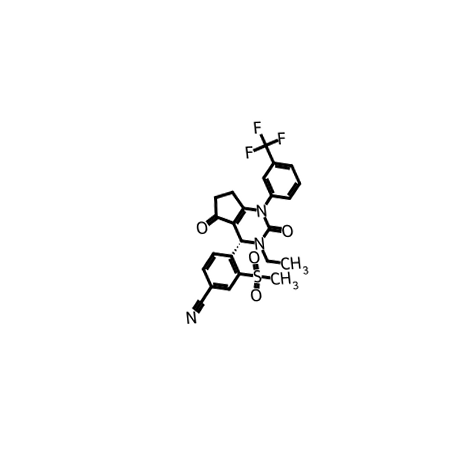 CCN1C(=O)N(c2cccc(C(F)(F)F)c2)C2=C(C(=O)CC2)[C@H]1c1ccc(C#N)cc1S(C)(=O)=O